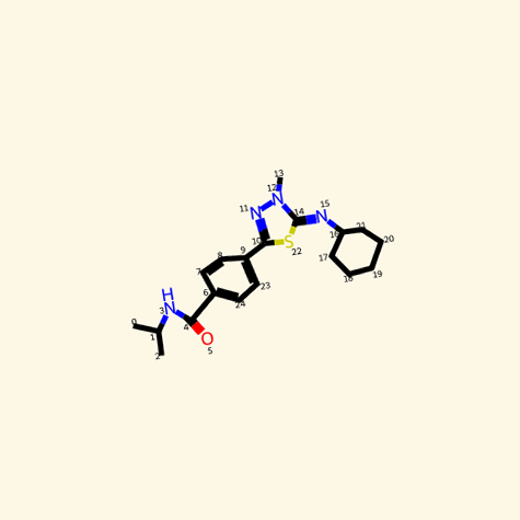 CC(C)NC(=O)c1ccc(-c2nn(C)c(=NC3CCCCC3)s2)cc1